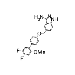 COc1cc(F)c(F)cc1-c1ccc(OCc2ccc3[nH]nc(N)c3c2)cc1